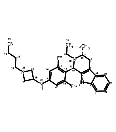 C[C@@H]1Cc2c([nH]c3ccccc23)[C@@H](c2c(F)cc(NC3CN(CCCC#N)C3)cc2F)N1CC(F)(F)F